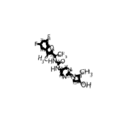 Cc1c([C@H](NC(=O)Nc2cnc(N3C[C@H](O)[C@H]3C)nc2)C(F)(F)F)oc2c(F)cc(F)cc12